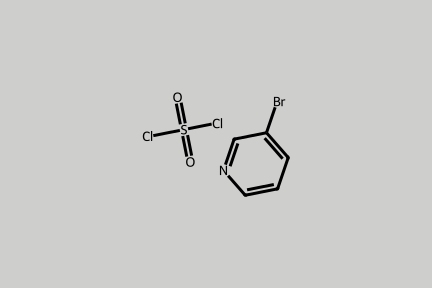 Brc1cccnc1.O=S(=O)(Cl)Cl